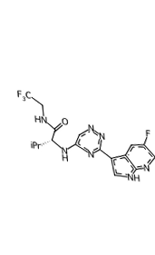 CC(C)[C@@H](Nc1cnnc(-c2c[nH]c3ncc(F)cc23)n1)C(=O)NCC(F)(F)F